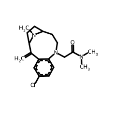 C=C1c2cc(Cl)ccc2N(CC(=O)N(C)C)CCC2CCC1N2C